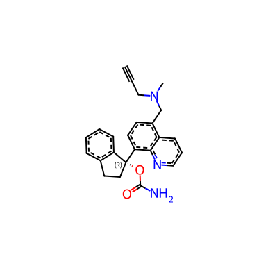 C#CCN(C)Cc1ccc([C@@]2(OC(N)=O)CCc3ccccc32)c2ncccc12